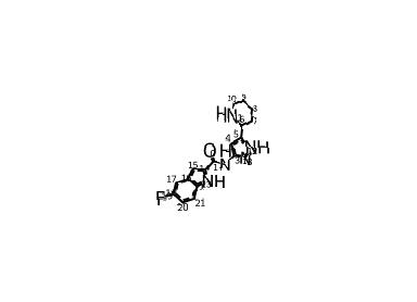 O=C(Nc1cc(C2CCCCN2)[nH]n1)c1cc2cc(F)ccc2[nH]1